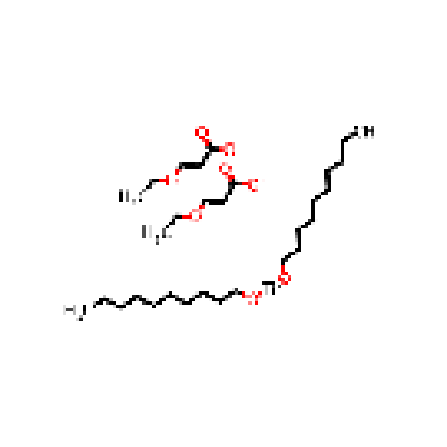 CCCCCCCCCC[O][Ti+2][O]CCCCCCCCCC.CCOC=CC(=O)[O-].CCOC=CC(=O)[O-]